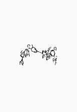 Cc1cc(C2=NOC(c3cc(C(F)(F)F)cc(Cl)c3F)(C(F)(F)F)C2)ccc1C(=O)NCc1nc(C#N)cs1